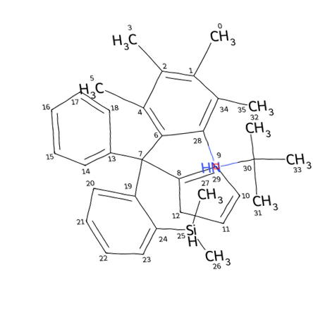 Cc1c(C)c(C)c(C(C2=CC=CC2)(c2ccccc2)c2ccccc2[SiH](C)C)c(NC(C)(C)C)c1C